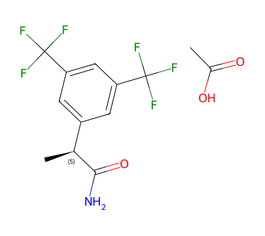 CC(=O)O.C[C@H](C(N)=O)c1cc(C(F)(F)F)cc(C(F)(F)F)c1